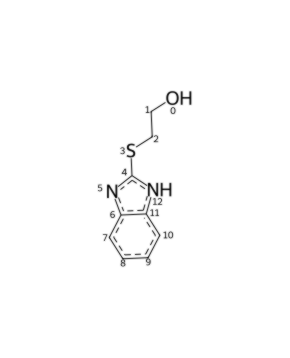 OCCSc1nc2ccccc2[nH]1